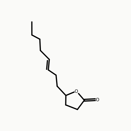 CCCC/C=C/CCC1CCC(=O)O1